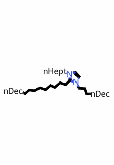 CCCCCCCCCCCCCCCCCCCc1n(CCCCCCCCCCCCC)cc[n+]1CCCCCCC